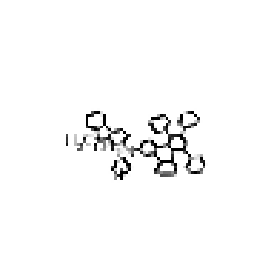 CC1(C)c2ccccc2-c2ccc(N(c3ccncc3)c3ccc4c(c3)c3ccccc3c3c(-c5ccccc5)cc(C5=CCCC=C5)c(-c5ccccc5)c43)cc21